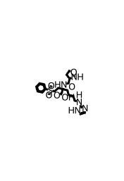 O=C(NC(CCCCNc1ncc[nH]1)(CCS(=O)(=O)c1ccccc1)C(=O)O)C1CCON1